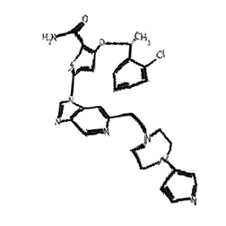 C[C@@H](Oc1cc(-n2cnc3cnc(CN4CCN(c5ccncc5)CC4)cc32)sc1C(N)=O)c1ccccc1Cl